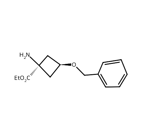 CCOC(=O)[C@]1(N)C[C@@H](OCc2ccccc2)C1